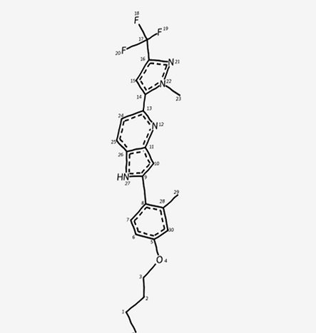 CCCCOc1ccc(-c2cc3nc(-c4cc(C(F)(F)F)nn4C)ccc3[nH]2)c(C)c1